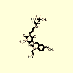 COc1cccc(Cn2c(NCCO)nc3c2c(=O)n(CCCNC(=O)OC(C)(C)C)c(=O)n3C)c1